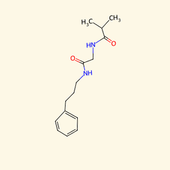 CC(C)C(=O)NCC(=O)NCCCc1ccccc1